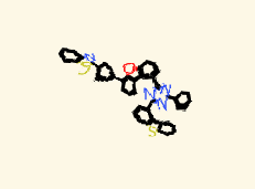 c1ccc(-c2nc(-c3cccc4oc5c(-c6ccc(-c7nc8ccccc8s7)cc6)cccc5c34)nc(-c3cccc4sc5ccccc5c34)n2)cc1